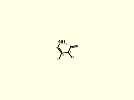 C=CC(C)/C(C)=C\N